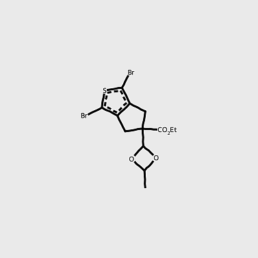 CCOC(=O)C1(C2OC(C)O2)Cc2c(Br)sc(Br)c2C1